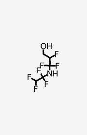 OCC(F)C(F)(F)NC(F)(F)C(F)F